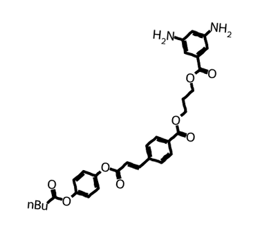 CCCCC(=O)Oc1ccc(OC(=O)C=Cc2ccc(C(=O)OCCCOC(=O)c3cc(N)cc(N)c3)cc2)cc1